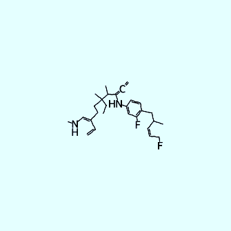 C=C=C(Nc1ccc(CC(C)/C=C\CF)c(F)c1)C(C)C(C)(CC)CC/C(C=C)=C/NC